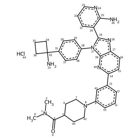 CN(C)C(=O)C1CCN(c2cccc(-c3ccc4nc(-c5cccnc5N)n(-c5ccc(C6(N)CCC6)cc5)c4n3)c2)CC1.Cl